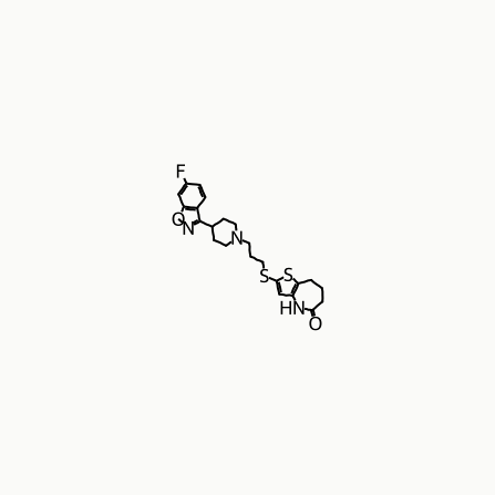 O=C1CCCc2sc(SCCCN3CCC(c4noc5cc(F)ccc45)CC3)cc2N1